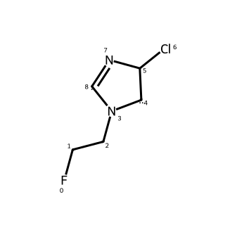 FCCN1[C]C(Cl)N=[C]1